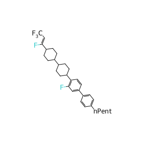 CCCCCc1ccc(-c2ccc(C3CCC(C4CCC(/C(F)=C/C(F)(F)F)CC4)CC3)c(F)c2)cc1